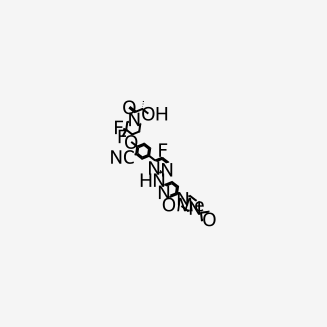 COc1nc(Nc2ncc(F)c(-c3ccc(O[C@@H]4CCN(C(=O)[C@H](C)O)CC4(F)F)c(C#N)c3)n2)ccc1N1CCN(C2COC2)CC1